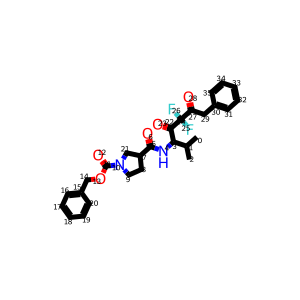 CC(C)C(NC(=O)C1CCN(C(=O)OCc2ccccc2)C1)C(=O)C(F)(F)C(=O)Cc1ccccc1